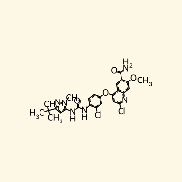 COc1cc2nc(Cl)cc(Oc3ccc(NC(=O)Nc4cc(C(C)(C)C)nn4C)c(Cl)c3)c2cc1C(N)=O